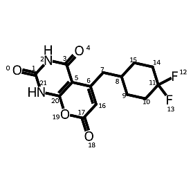 O=c1[nH]c(=O)c2c(CC3CCC(F)(F)CC3)cc(=O)oc2[nH]1